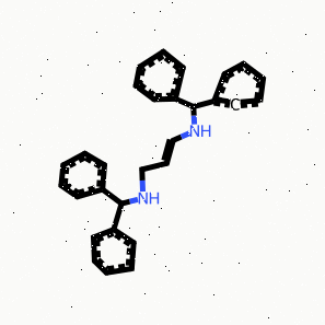 C(=CNC(c1ccccc1)c1ccccc1)CNC(c1ccccc1)c1ccccc1